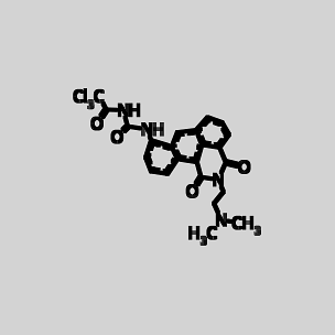 CN(C)CCN1C(=O)c2cccc3cc4c(NC(=O)NC(=O)C(Cl)(Cl)Cl)cccc4c(c23)C1=O